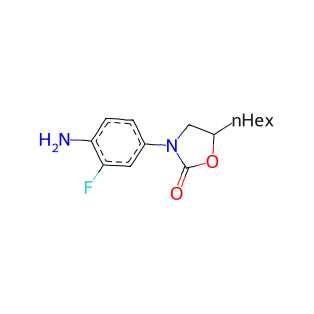 CCCCCCC1CN(c2ccc(N)c(F)c2)C(=O)O1